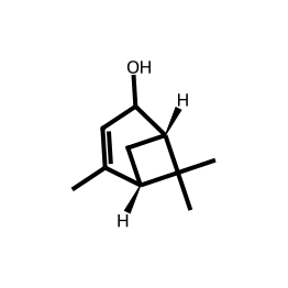 CC1=CC(O)[C@H]2C[C@@H]1C2(C)C